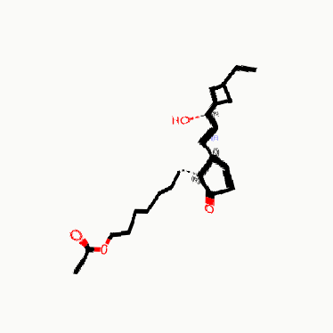 CCC1CC([C@@H](O)/C=C/[C@H]2C=CC(=O)[C@@H]2CCCCCCCOC(C)=O)C1